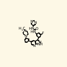 CN1CCN(c2cccc(-c3cnc4[nH]nc(-c5cc(F)cc(NC(=O)Nc6cncnc6)c5)c4c3)c2)CC1